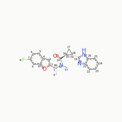 C[C@H](c1cc2ccc(F)cc2o1)N(C)C(=O)[C@H]1C[C@@H]1c1nc2ccccc2[nH]1